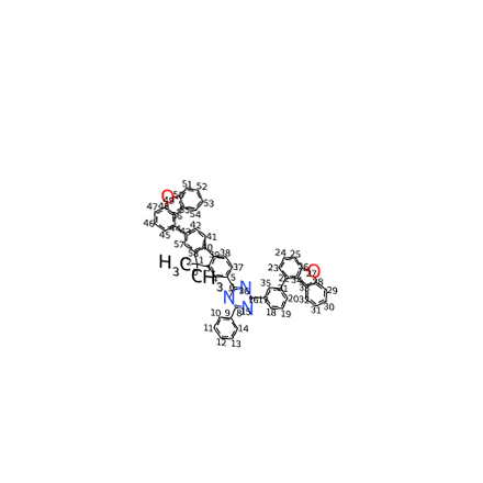 CC1(C)c2cc(-c3nc(-c4ccccc4)nc(-c4cccc(-c5cccc6oc7ccccc7c56)c4)n3)ccc2-c2ccc(-c3cccc4oc5ccccc5c34)cc21